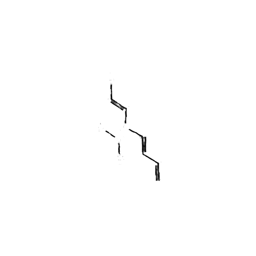 C=C/C=C/O/C=C/CC.CCOCC